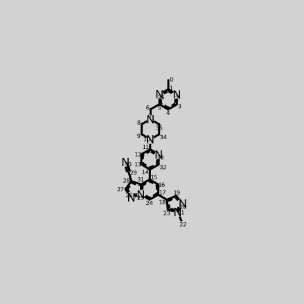 Cc1nccc(CN2CCN(c3ccc(-c4cc(-c5cnn(C)c5)cn5ncc(C#N)c45)cn3)CC2)n1